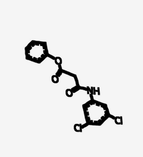 O=C(CC(=O)Oc1ccccc1)Nc1cc(Cl)cc(Cl)c1